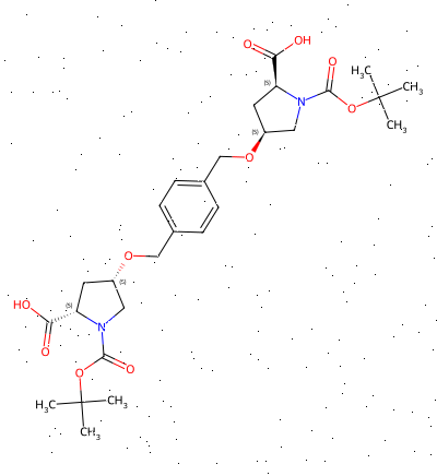 CC(C)(C)OC(=O)N1C[C@@H](OCc2ccc(CO[C@H]3C[C@@H](C(=O)O)N(C(=O)OC(C)(C)C)C3)cc2)C[C@H]1C(=O)O